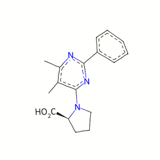 Cc1nc(-c2ccccc2)nc(N2CCC[C@H]2C(=O)O)c1C